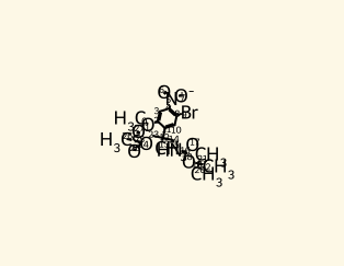 COc1cc([N+](=O)[O-])c(Br)cc1C(C)(CNC(=O)OC(C)(C)C)COS(C)(=O)=O